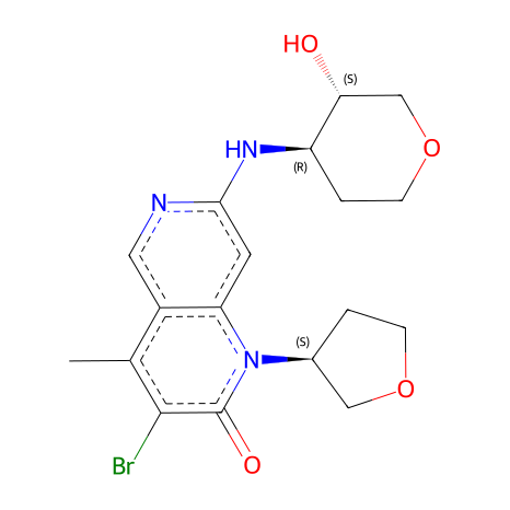 Cc1c(Br)c(=O)n([C@H]2CCOC2)c2cc(N[C@@H]3CCOC[C@H]3O)ncc12